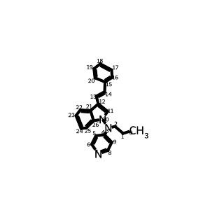 CCCN(c1ccncc1)n1cc(C=Cc2ccccc2)c2ccccc21